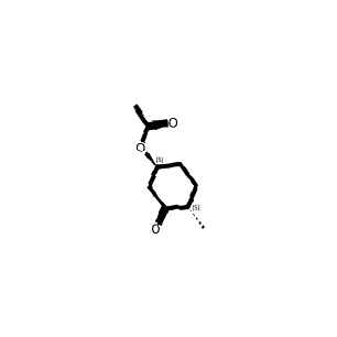 CC(=O)O[C@H]1CC[C@H](C)C(=O)C1